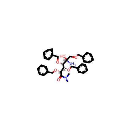 CN(C)C(=O)[C@H](OCc1ccccc1)[C@@H](OCc1ccccc1)[C@H](OCc1ccccc1)[C@](N)(O)COCc1ccccc1